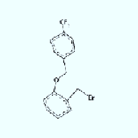 FC(F)(F)c1ccc(COc2ccccc2CBr)cc1